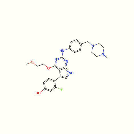 COCCOc1nc(Nc2ccc(CN3CCN(C)CC3)cc2)nc2[nH]cc(-c3ccc(O)cc3F)c12